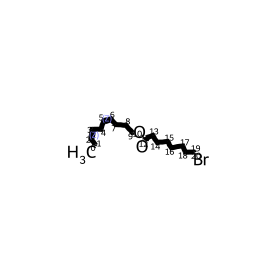 CC/C=C\C/C=C\CCCOC(=O)CCCCCCCBr